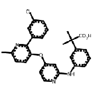 Cc1ccc(Oc2ccnc(Nc3cccc(C(C)(C)C(=O)O)c3)c2)c(-c2cccc(Cl)c2)n1